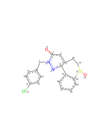 O=c1cc2c(nn1Cc1ccc(Cl)cc1)-c1ccccc1[S+]([O-])CC2